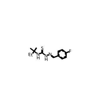 CCC(C)(C)NC(=S)N/N=C/c1ccc(F)cc1